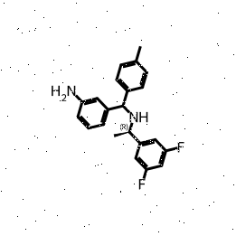 Cc1ccc(C(N[C@H](C)c2cc(F)cc(F)c2)c2cccc(N)c2)cc1